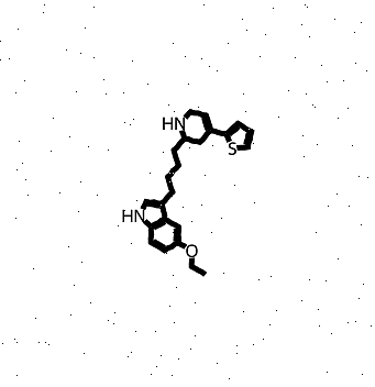 CCOc1ccc2[nH]cc(CCCCC3CC(c4cccs4)=CCN3)c2c1